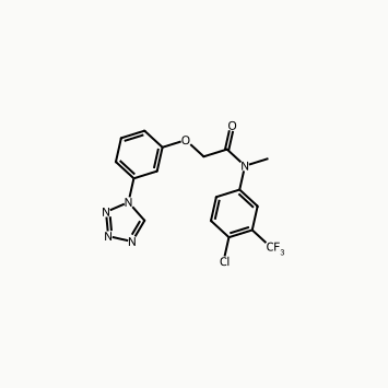 CN(C(=O)COc1cccc(-n2cnnn2)c1)c1ccc(Cl)c(C(F)(F)F)c1